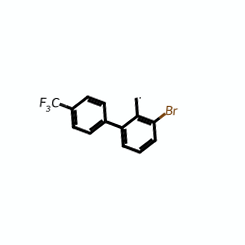 [CH2]c1c(Br)cccc1-c1ccc(C(F)(F)F)cc1